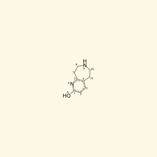 Oc1ccc2c(n1)CCNCC2